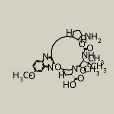 COc1ccc2nc3c(nc2c1)O[C@@H]1C[C@@H](C(=O)O)N(C1)C(=O)[C@H](C(C)(C)C)NC(=O)O[C@H]1[C@H](CCCCC3)CC[C@H]1N